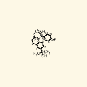 O=C(O)C[C@@H]1CCc2cc(C(O)(C(F)(F)F)C(F)(F)F)ccc2N1[S+]([O-])c1ccc(F)cc1